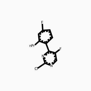 CCCc1cc(F)ccc1-c1nc(Cl)ncc1F